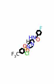 O=C(N[C@H]1C[C@H]2CN(S(=O)(=O)c3ccc(C(F)(F)F)cc3Cl)CCN2C1)c1ccc(F)cc1